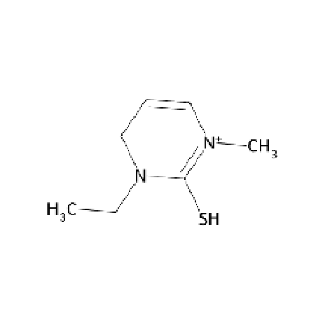 CCN1CC=C[N+](C)=C1S